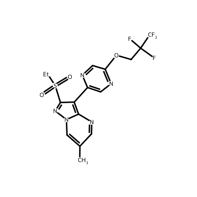 CCS(=O)(=O)c1nn2cc(C)cnc2c1-c1cnc(OCC(F)(F)C(F)(F)F)cn1